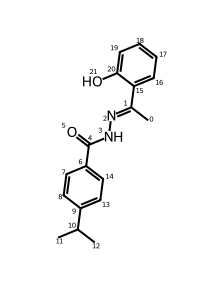 C/C(=N\NC(=O)c1ccc(C(C)C)cc1)c1ccccc1O